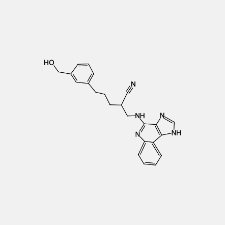 N#CC(CCCc1cccc(CO)c1)CNc1nc2ccccc2c2[nH]cnc12